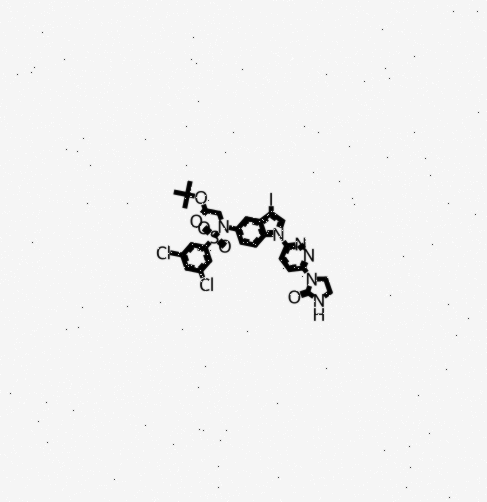 CC(C)(C)OC(=O)CN(c1ccc2c(c1)c(I)cn2-c1ccc(N2CCNC2=O)nn1)S(=O)(=O)c1cc(Cl)cc(Cl)c1